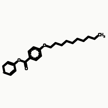 CCCCCCCCCCOc1ccc(C(=O)OC2=CC[CH]C=C2)cc1